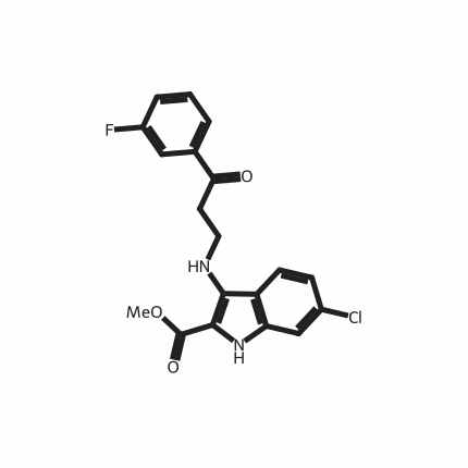 COC(=O)c1[nH]c2cc(Cl)ccc2c1NCCC(=O)c1cccc(F)c1